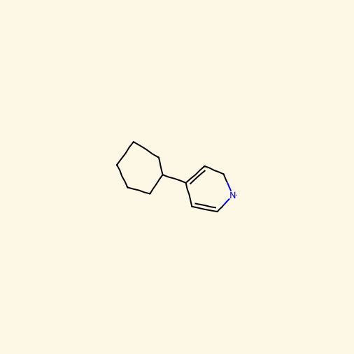 C1=CC(C2CCCCC2)=CC[N]1